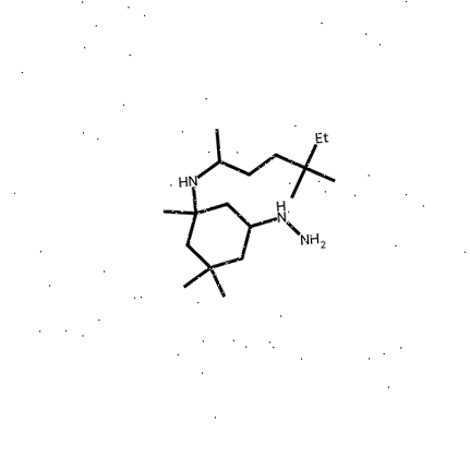 CCC(C)(C)CCC(C)NC1(C)CC(NN)CC(C)(C)C1